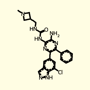 CN1CC(CNC(=O)Nc2nc(-c3cc(Cl)c4[nH]ncc4c3)c(-c3ccccc3)nc2N)C1